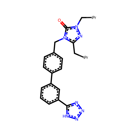 CC(C)Cc1nn(CC(C)C)c(=O)n1Cc1ccc(-c2cccc(-c3nnn[nH]3)c2)cc1